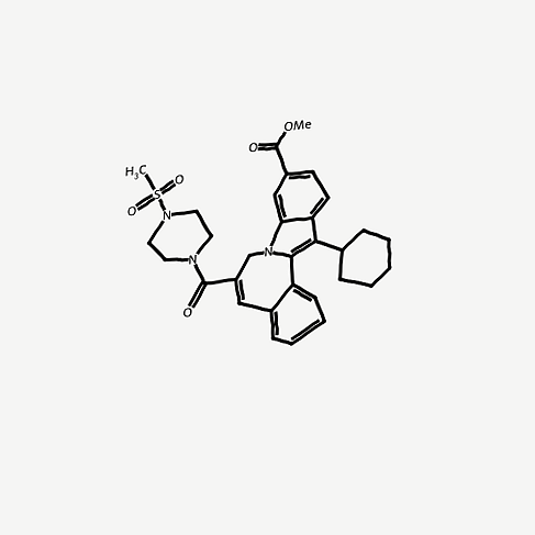 COC(=O)c1ccc2c(C3CCCCC3)c3n(c2c1)CC(C(=O)N1CCN(S(C)(=O)=O)CC1)=Cc1ccccc1-3